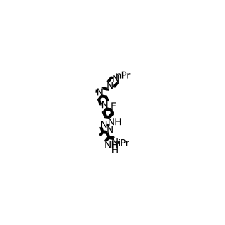 CCCN1CCN(CCN(C)C2CCN(c3ccc(Nc4ncc(C)c(/C(C=N)=C/NC(C)C)n4)cc3F)CC2)CC1